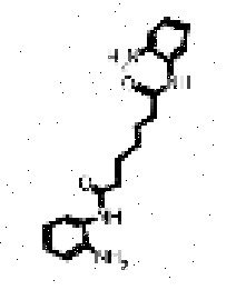 Nc1ccccc1NC(=O)CCCCCC(=O)Nc1ccccc1N